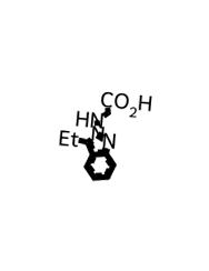 CCc1c2ccccc2nn1NCC(=O)O